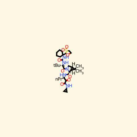 CCC[C@H](NC(=O)[C@@H]1[C@@H]2[C@H](CN1C(=O)[C@@H](NC(=O)NC1(C3OCCS3(=O)=O)CCCCC1)C(C)(C)C)C2(C)C)C(=O)C(=O)NC1CC1